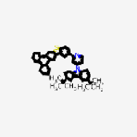 CC(C)(C)c1ccc2c(c1)c1cc(C(C)(C)C)ccc1n2-c1ccnc(-c2ccc3sc4cc5c6ccccc6c6ccccc6c5cc4c3c2)c1